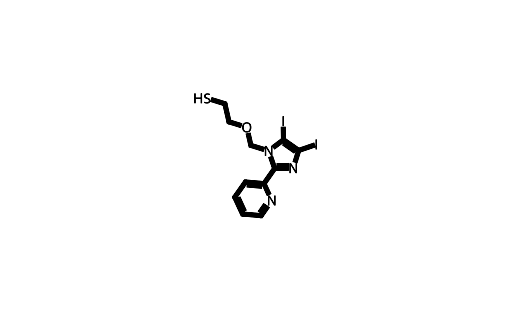 SCCOCn1c(-c2ccccn2)nc(I)c1I